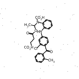 Cc1ccccc1C(=O)c1ccc(Nc2ccccc2N(C(=O)O)C(C)OC(=O)CCC(=O)O)cc1Cl